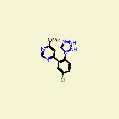 COc1cc(-c2cc(Cl)ccc2N2C=NNN2)ncn1